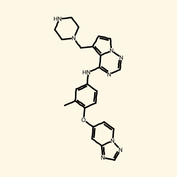 Cc1cc(Nc2ncnn3ccc(CN4CCNCC4)c23)ccc1Oc1ccn2ncnc2c1